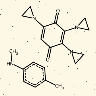 CNc1ccc(C)cc1.O=C1C=C(N2CC2)C(=O)C(N2CC2)=C1N1CC1